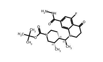 C[C@@H]1CN(C(=O)OC(C)(C)C)CC[C@@H]1[C@H](C)N1CCC(=O)c2c(F)cc(C(=O)NN)cc21